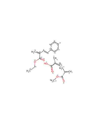 C=C(C)C(=O)O.C=C(C)C(=O)OC.C=C(C=Cc1ccccc1)C(=O)OCC